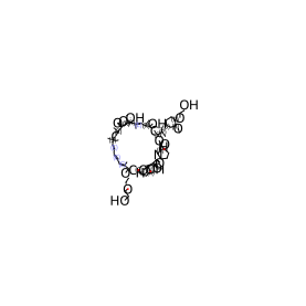 CO[C@@H]1C[C@H](C[C@@H](C)[C@@H]2CC(O)[C@H](C)/C=C(\C)[C@@H](O)[C@@H](OC)C(=O)[C@H](C)C[C@H](C)/C=C/C=C/C=C(\C)C(OCCOCCO)C[C@@H]3CC[C@@H](C)[C@@](O)(O3)C(=O)C(=O)N3CCCC[C@H]3C(=O)O2)CC[C@H]1OCCO